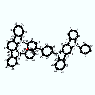 c1ccc(-n2c3ccccc3c3cc4c(cc32)c2ccccc2n4-c2ccc(-c3ccc(-n4c5ccccc5c5ccc6c7ccccc7n(-c7ccccc7)c6c54)cc3)cc2)cc1